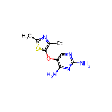 CCc1nc(C)sc1Oc1cnc(N)nc1N